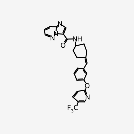 O=C(NC1CCC(=Cc2cccc(Oc3ccc(C(F)(F)F)cn3)c2)CC1)c1cnc2cccnn12